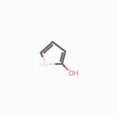 OC1=CC=CB1